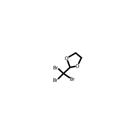 BrC(Br)(Br)C1OCCO1